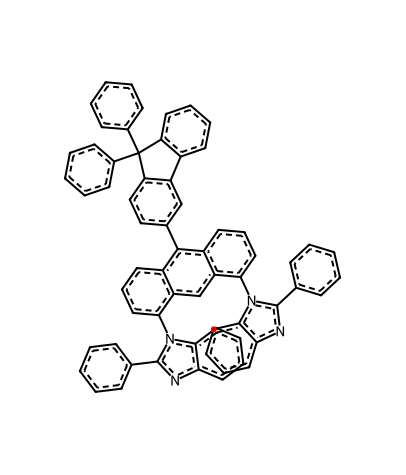 c1ccc(-c2nc3ccccc3n2-c2cccc3c(-c4ccc5c(c4)-c4ccccc4C5(c4ccccc4)c4ccccc4)c4cccc(-n5c(-c6ccccc6)nc6ccccc65)c4cc23)cc1